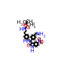 CC(C)(C)OC(=O)NCCc1ccc(N/C(=C2\C(=O)Nc3ccc([N+](=O)[O-])cc32)c2ccc(CN)cc2)cc1